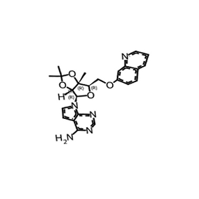 CC1(C)O[C@H]2[C@H](n3ccc4c(N)ncnc43)O[C@H](COc3ccc4cccnc4c3)[C@@]2(C)O1